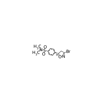 CN(C)S(=O)(=O)c1ccc([C@H]2CC(Br)=NO2)cc1